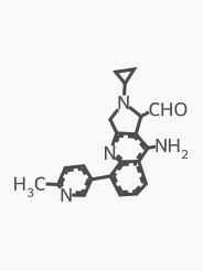 Cc1ccc(-c2cccc3c(N)c4c(nc23)CN(C2CC2)C4C=O)cn1